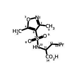 Cc1noc(C)c1S(=O)(=O)NC(CC(C)C)C(=O)O